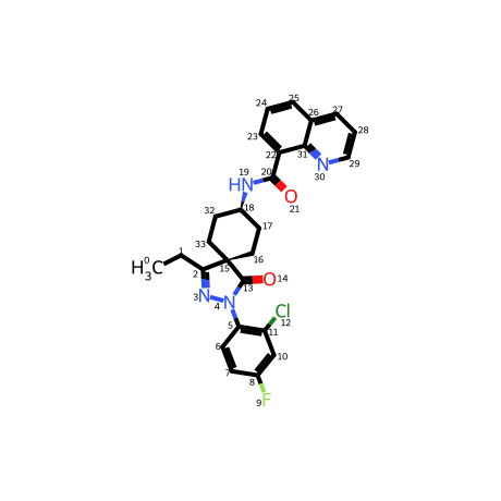 CCC1=NN(c2ccc(F)cc2Cl)C(=O)[C@]12CC[C@H](NC(=O)c1cccc3cccnc13)CC2